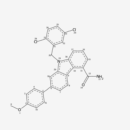 COc1ccc(-c2c[c]c3c4c(C(N)=O)cccc4n(Cc4cc(Cl)ccc4Cl)c3c2)cc1